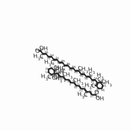 CC(/C=C/C=C(C)/C=C/[C@@]1(O)C(C)(C)CCC[C@@]1(C)O)=C\C=C\C=C(C)\C=C\C(=O)O.CC1=C(/C=C/C(C)=C/C=C/C(C)=C/C=C/C=C(C)/C=C/C=C(C)/C=C/C=C(\C)C(=O)O)C(C)(C)CCC1